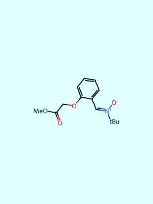 COC(=O)COc1ccccc1C=[N+]([O-])C(C)(C)C